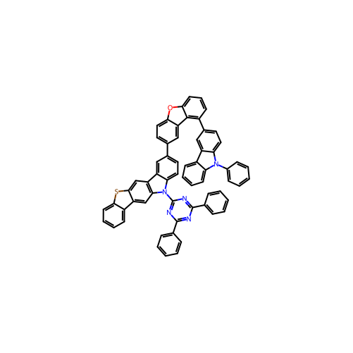 c1ccc(-c2nc(-c3ccccc3)nc(-n3c4ccc(-c5ccc6oc7cccc(-c8ccc9c(c8)c8ccccc8n9-c8ccccc8)c7c6c5)cc4c4cc5sc6ccccc6c5cc43)n2)cc1